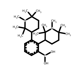 CN1C(C)(C)CCC(c2cccc(P(O)O)c2C2CCC(C)(C)N(C)C2(C)C)C1(C)C